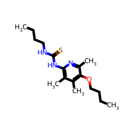 CCCCNC(=S)Nc1nc(C)c(OCCCC)c(C)c1C